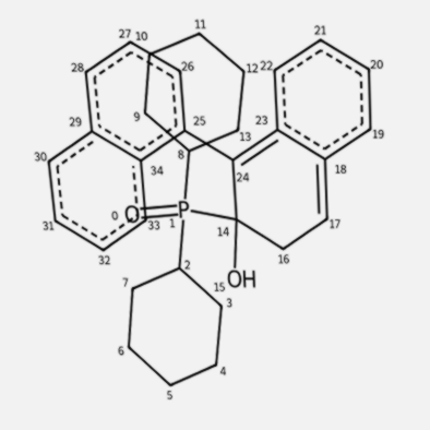 O=P(C1CCCCC1)(C1CCCCC1)C1(O)CC=c2ccccc2=C1c1cccc2ccccc12